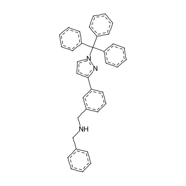 c1ccc(CNCc2cccc(-c3ccn(C(c4ccccc4)(c4ccccc4)c4ccccc4)n3)c2)cc1